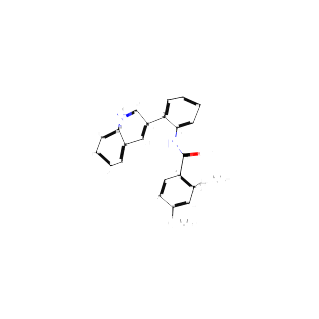 COc1ccc(C(=O)Nc2ccccc2-c2cnc3ccccc3c2)c(OC)c1